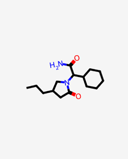 CCCC1CC(=O)N(C(C(N)=O)C2CCCCC2)C1